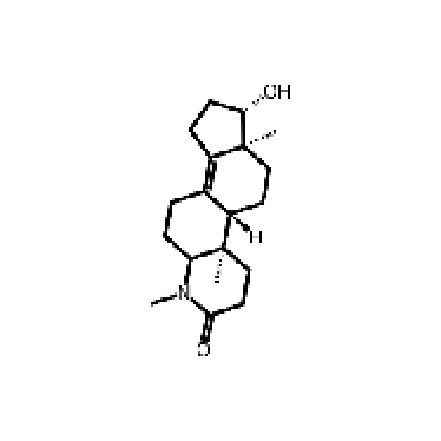 CN1C(=O)CC[C@@]2(C)C1CCC1=C3CC[C@H](O)[C@@]3(C)CC[C@@H]12